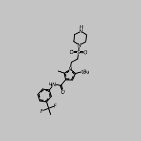 Cc1c(C(=O)Nc2cccc(C(C)(F)F)c2)cc(C(C)(C)C)n1CCS(=O)(=O)N1CCNCC1